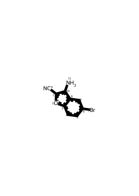 N#Cc1oc2ccc(Br)cc2c1N